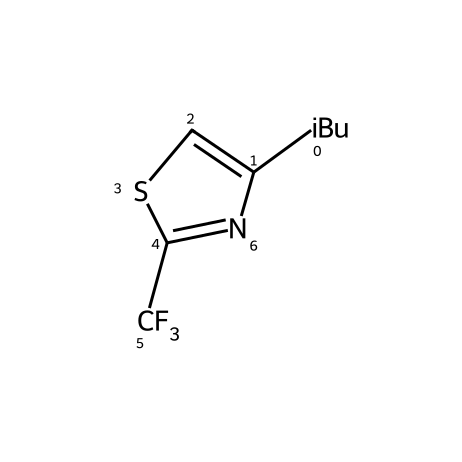 CCC(C)c1csc(C(F)(F)F)n1